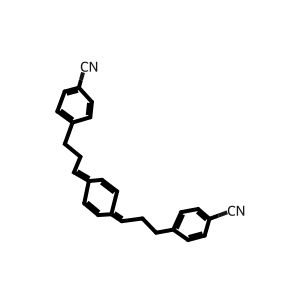 N#Cc1ccc(CCC=c2ccc(=CCCc3ccc(C#N)cc3)cc2)cc1